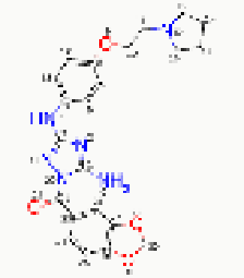 Nc1nc(Nc2ccc(OCCN3CCCC3)cc2)nn1C(=O)c1ccc2c(c1)OCO2